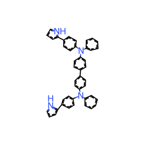 c1ccc(N(c2ccc(-c3ccc(N(c4ccccc4)c4ccc(-c5ccc[nH]5)cc4)cc3)cc2)c2ccc(-c3ccc[nH]3)cc2)cc1